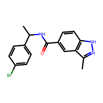 Cc1n[nH]c2ccc(C(=O)NC(C)c3ccc(Br)cc3)cc12